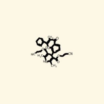 CC1=C(C(=O)OCCC#N)C(c2cccc3c(=O)c(C)c(-c4ccccc4)oc23)C(C(=O)OCCC#N)=C(C)N1